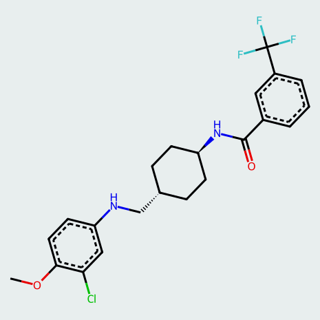 COc1ccc(NC[C@H]2CC[C@H](NC(=O)c3cccc(C(F)(F)F)c3)CC2)cc1Cl